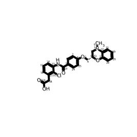 CN1C[C@@H](COc2ccc(C(=O)Nc3cccc(CC(=O)O)c3Cl)cc2)Oc2ccccc21